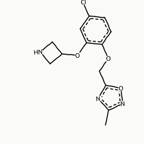 Cc1noc(COc2ccc(Cl)cc2OC2CNC2)n1